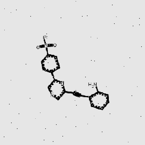 CC(C)S(=O)(=O)c1ccc(-c2cncc(C#Cc3ccccc3N)n2)cc1